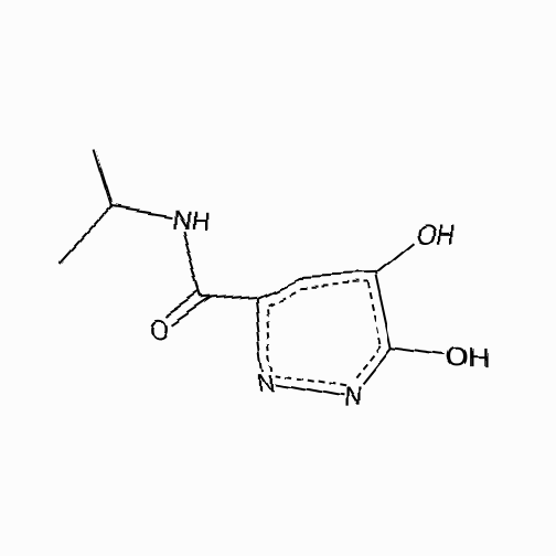 CC(C)NC(=O)c1cc(O)c(O)nn1